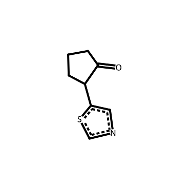 O=C1CCCC1c1cncs1